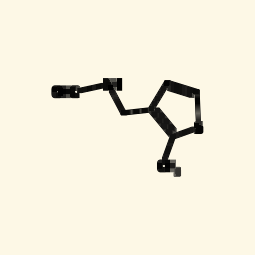 Cc1sccc1CNC=O